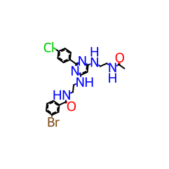 CC(=O)NCCNc1cc(NCCNC(=O)c2cccc(Br)c2)nc(-c2ccc(Cl)cc2)n1